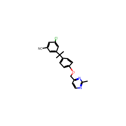 Cc1nccc(COc2ccc(C(C)(C)c3cc(Cl)cc(C#N)c3)cc2)n1